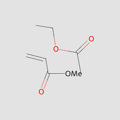 C=CC(=O)OC.CCOC(C)=O